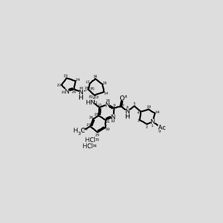 CC(=O)N1CCC(CNC(=O)c2nc(N[C@H]3CCCC[C@H]3NC3=NCCC3)c3cc(C)ccc3n2)CC1.Cl.Cl